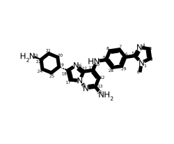 Cn1ccnc1-c1ccc(Nc2cc(N)nn3cc([C@H]4CC[C@H](N)CC4)nc23)cc1